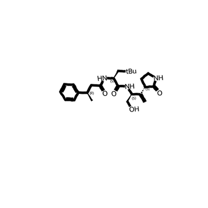 C=C([C@@H]1CCNC1=O)[C@@H](CO)NC(=O)[C@H](CC(C)(C)C)NC(=O)C[C@@H](C)c1ccccc1